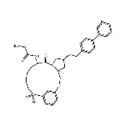 CC(C)(C)CC(=O)N[C@H]1CCCCS(=O)(=O)c2cccc(c2)OC[C@@H]2C[C@H](OCc3ccc(-c4cncnc4)cc3)CN2C1=O